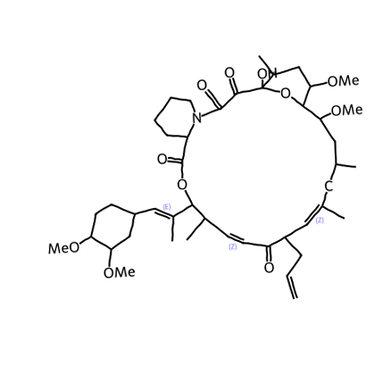 C=CCC1/C=C(/C)CC(C)CC(OC)C2OC(O)(C(=O)C(=O)N3CCCCC3C(=O)OC(/C(C)=C/C3CCC(OC)C(OC)C3)C(C)/C=C\C1=O)C(C)CC2OC